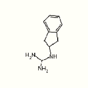 NC(N)NC1Cc2ccccc2C1